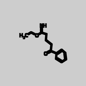 CCOC(=N)CCCC(=O)c1ccccc1